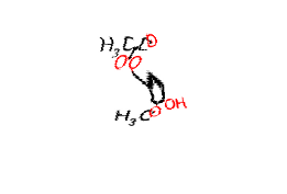 COc1cc(COC(=O)C(C)=C=O)ccc1O